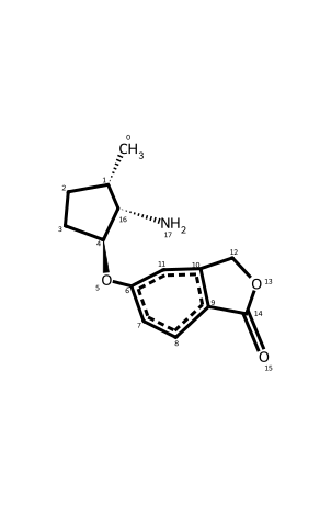 C[C@H]1CC[C@H](Oc2ccc3c(c2)COC3=O)[C@H]1N